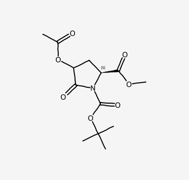 COC(=O)[C@@H]1CC(OC(C)=O)C(=O)N1C(=O)OC(C)(C)C